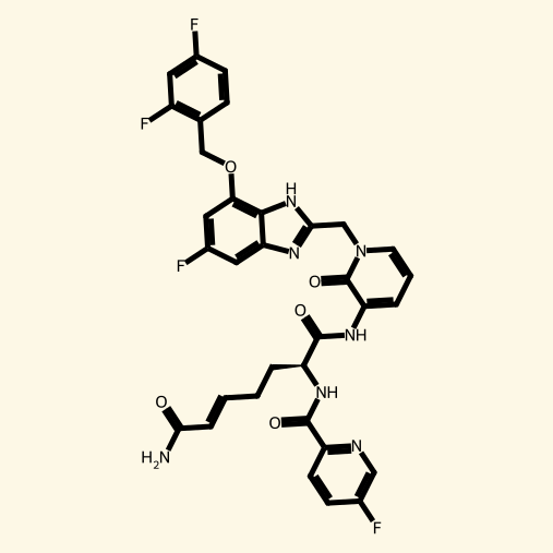 NC(=O)/C=C/CC[C@H](NC(=O)c1ccc(F)cn1)C(=O)Nc1cccn(Cc2nc3cc(F)cc(OCc4ccc(F)cc4F)c3[nH]2)c1=O